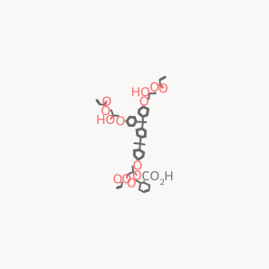 C=CC(=O)OCC(O)COc1ccc(C(C)(c2ccc(OCC(O)COC(=O)C=C)cc2)c2ccc(C(C)(C)c3ccc(OCC(COC(=O)C=C)OC(=O)C4CC=CCC4C(=O)O)cc3)cc2)cc1